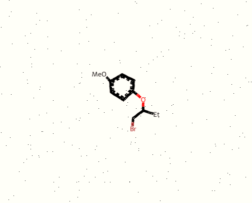 CCC(CBr)Oc1ccc(OC)cc1